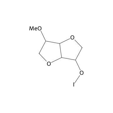 COC1COC2C(OI)COC12